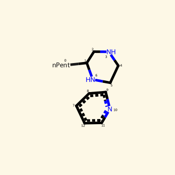 CCCCCC1CNCCN1.c1ccncc1